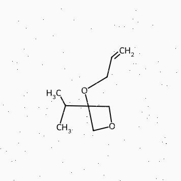 C=CCOC1(C(C)C)COC1